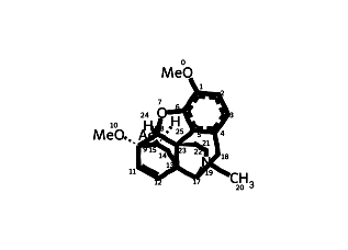 COc1ccc2c3c1O[C@H]1[C@]4(OC)C=CC5(C[C@@H]4C(C)=O)C(C2)N(C)CC[C@]315